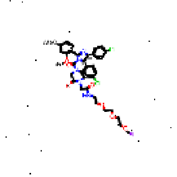 COc1ccc(C2=N[C@@H](c3ccc(Cl)cc3)[C@@H](c3ccc(Cl)cc3)N2C(=O)N2CCN(CC(=O)NCCOCCOCCOCI)C(=O)C2)c(OC(C)C)c1